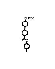 CCCCCCCC1CCC(C2CCC(C(=O)Oc3ccc(C)cc3)CC2)CC1